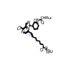 CC(C)(C)OC(=O)CCCCC/C=C/c1cnc(Cl)c2cnc([C@@H]3CCC[C@@H](NC(=O)OC(C)(C)C)C3)n12